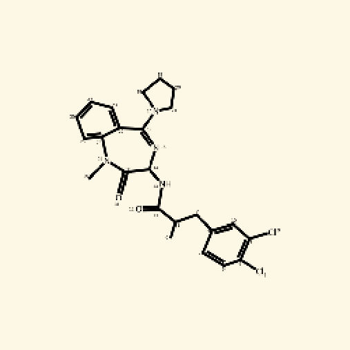 CC(Cc1ccc(Cl)c(Cl)c1)C(=O)NC1N=C(N2CCCC2)c2ccccc2N(C)C1=O